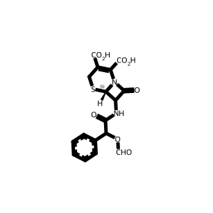 O=COC(C(=O)NC1C(=O)N2C(C(=O)O)=C(C(=O)O)CS[C@@H]12)c1ccccc1